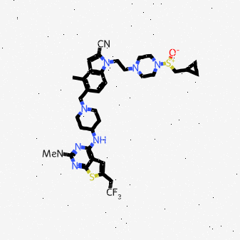 CNc1nc(NC2CCN(Cc3ccc4c(cc(C#N)n4CCN4CCN([S+]([O-])CC5CC5)CC4)c3C)CC2)c2cc(CC(F)(F)F)sc2n1